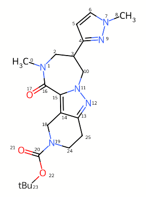 CN1CC(c2ccn(C)n2)Cn2nc3c(c2C1=O)CN(C(=O)OC(C)(C)C)CC3